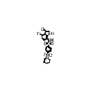 O=S(=O)(Nc1ccc(Cl)c2c(Cl)c[nH]c12)c1ccc(S(=O)(=O)N2CCCCC2)cc1